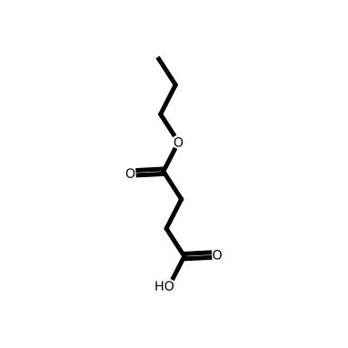 CCCOC(=O)CCC(=O)O